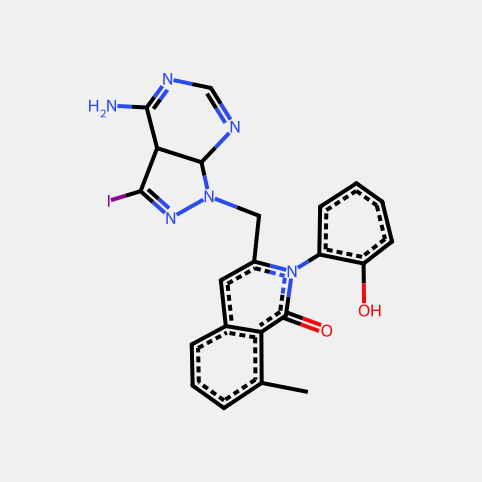 Cc1cccc2cc(CN3N=C(I)C4C(N)=NC=NC43)n(-c3ccccc3O)c(=O)c12